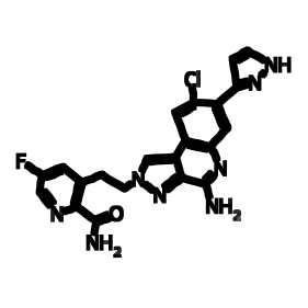 NC(=O)c1ncc(F)cc1CCn1cc2c(n1)c(N)nc1cc(-c3cc[nH]n3)c(Cl)cc12